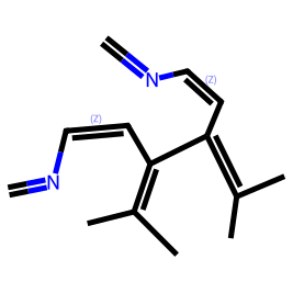 C=N/C=C\C(=C(C)C)C(/C=C\N=C)=C(C)C